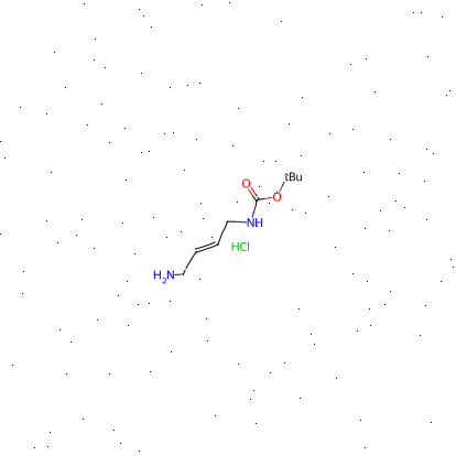 CC(C)(C)OC(=O)NC/C=C/CN.Cl